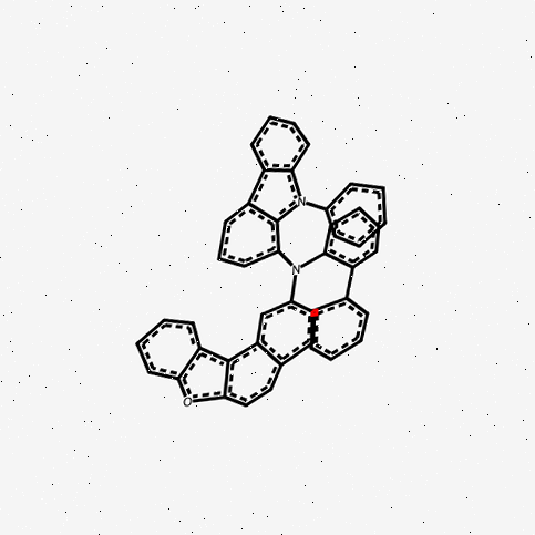 c1ccc(-c2ccccc2N(c2ccc3ccc4oc5ccccc5c4c3c2)c2cccc3c4ccccc4n(-c4ccccc4)c23)cc1